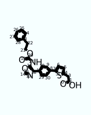 O=C(O)Cc1ccc(-c2ccc(-c3ncoc3NC(=O)OCCc3ccccc3)cc2)s1